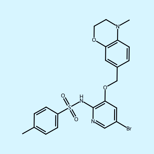 Cc1ccc(S(=O)(=O)Nc2ncc(Br)cc2OCc2ccc3c(c2)OCCN3C)cc1